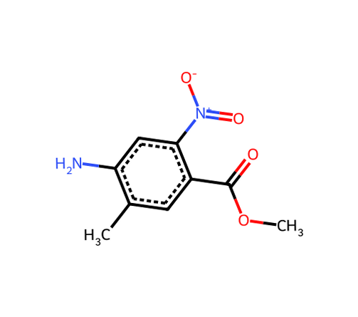 COC(=O)c1cc(C)c(N)cc1[N+](=O)[O-]